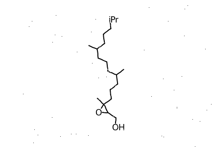 CC(C)CCCC(C)CCCC(C)CCCC1(C)OC1CO